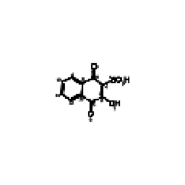 O=C1C(O)=C(S(=O)(=O)O)C(=O)c2ccccc21